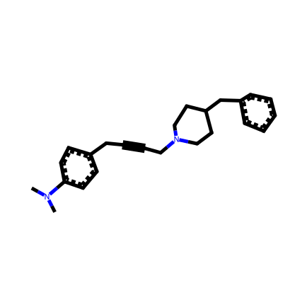 CN(C)c1ccc(CC#CCN2CCC(Cc3ccccc3)CC2)cc1